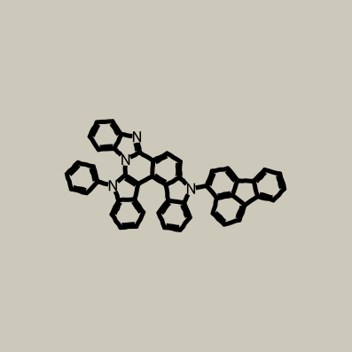 c1ccc(-n2c3ccccc3c3c4c(ccc5c4c4ccccc4n5-c4ccc5c6c(cccc46)-c4ccccc4-5)c4nc5ccccc5n4c32)cc1